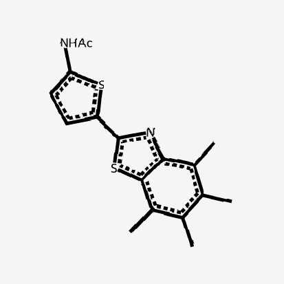 CC(=O)Nc1ccc(-c2nc3c(C)c(C)c(C)c(C)c3s2)s1